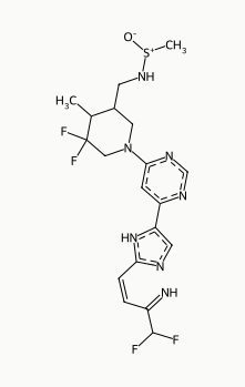 CC1C(CN[S+](C)[O-])CN(c2cc(-c3cnc(/C=C\C(=N)C(F)F)[nH]3)ncn2)CC1(F)F